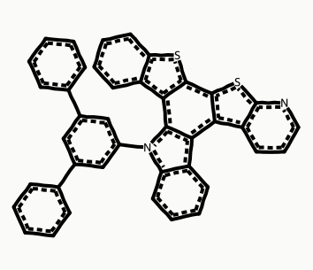 c1ccc(-c2cc(-c3ccccc3)cc(-n3c4ccccc4c4c5c6cccnc6sc5c5sc6ccccc6c5c43)c2)cc1